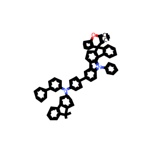 CC1(C)c2ccccc2-c2cc(N(c3ccc(-c4ccc5c(c4)c4ccc6c(c4n5-c4ccccc4)-c4ccccc4C64c5ccccc5Oc5ccccc54)cc3)c3cccc(-c4ccccc4)c3)ccc21